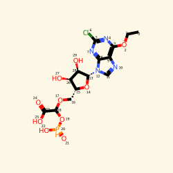 CCOc1nc(Cl)nc2c1ncn2[C@@H]1O[C@H](COC(O[PH](=O)O)C(=O)O)[C@@H](O)[C@H]1O